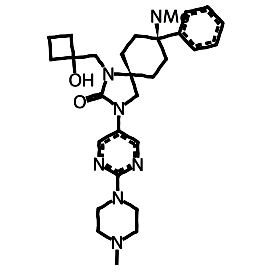 CN[C@]1(c2ccccc2)CC[C@@]2(CC1)CN(c1cnc(N3CCN(C)CC3)nc1)C(=O)N2CC1(O)CCC1